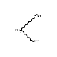 CCCCCCCCCCCCCCCCCCC(C)(O)CCCCCCCCCCCCCCCC